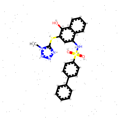 Cn1nnnc1Sc1cc(NS(=O)(=O)c2ccc(-c3ccccc3)cc2)c2ccccc2c1O